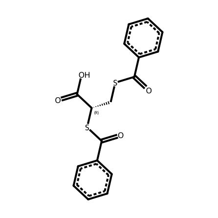 O=C(SC[C@H](SC(=O)c1ccccc1)C(=O)O)c1ccccc1